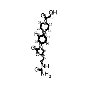 NC(=O)NSC[C@@H]1CN(c2ccc(N3CCN(C(=O)CO)CC3)c(F)c2)C(=O)O1